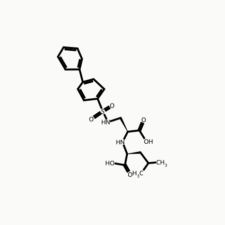 CC(C)C[C@H](N[C@@H](CNS(=O)(=O)c1ccc(-c2ccccc2)cc1)C(=O)O)C(=O)O